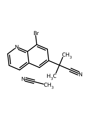 CC#N.CC(C)(C#N)c1cc(Br)c2ncccc2c1